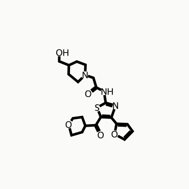 O=C(CN1CCC(CO)CC1)Nc1nc(-c2ccco2)c(C(=O)C2CCOCC2)s1